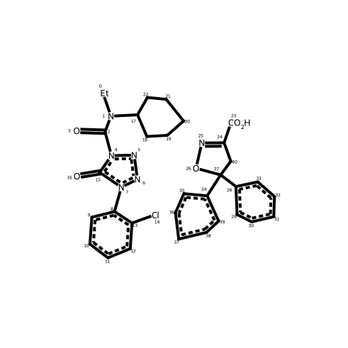 CCN(C(=O)n1nnn(-c2ccccc2Cl)c1=O)C1CCCCC1.O=C(O)C1=NOC(c2ccccc2)(c2ccccc2)C1